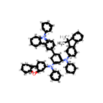 CC1(C)c2ccccc2-c2ccc(N(C3=CC(c4ccc5c(c4)c4ccccc4n5-c4ccccc4)CC(N(c4ccccc4)c4ccc5c(c4)oc4ccccc45)=C3)c3ccccc3)cc21